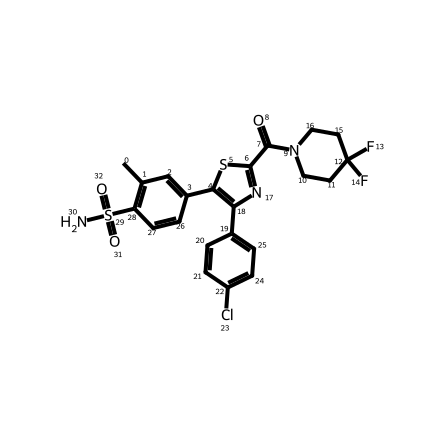 Cc1cc(-c2sc(C(=O)N3CCC(F)(F)CC3)nc2-c2ccc(Cl)cc2)ccc1S(N)(=O)=O